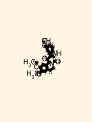 CCOc1cc2c(cc1OC)CCN(C=O)C2C(=O)c1c[nH]c2ccc(OC)cc12